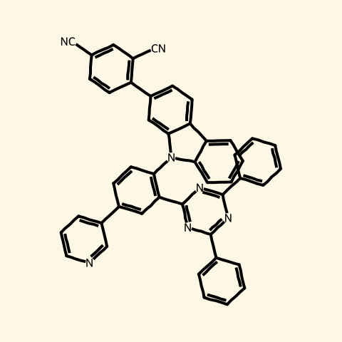 N#Cc1ccc(-c2ccc3c4ccccc4n(-c4ccc(-c5cccnc5)cc4-c4nc(-c5ccccc5)nc(-c5ccccc5)n4)c3c2)c(C#N)c1